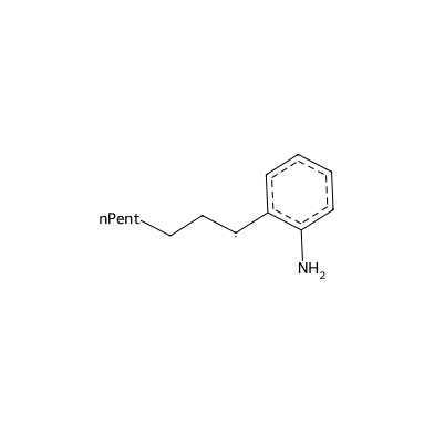 CCCCCCC[CH]c1ccccc1N